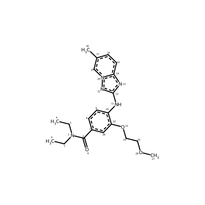 CCN(CC)C(=O)c1ccc(Nc2nc3ccc(C)cn3n2)c(OCCOC)c1